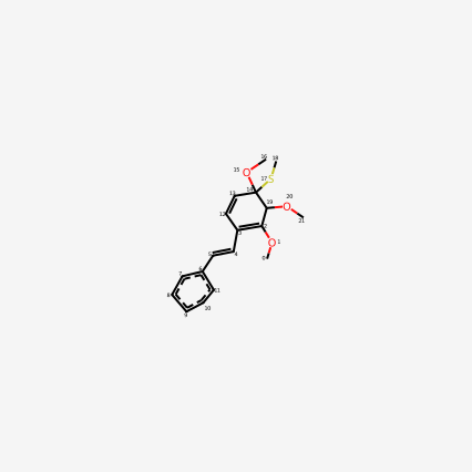 COC1=C(C=Cc2ccccc2)C=CC(OC)(SC)C1OC